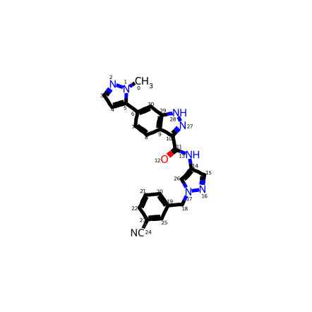 Cn1nccc1-c1ccc2c(C(=O)Nc3cnn(Cc4cccc(C#N)c4)c3)n[nH]c2c1